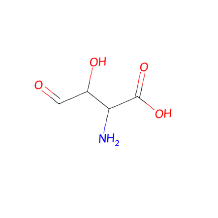 NC(C(=O)O)C(O)C=O